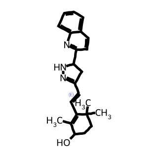 CC1=C(/C=C/C2=NNC(c3ccc4ccccc4n3)C2)C(C)(C)CCC1O